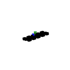 CCC[C@H]1CC[C@H](c2ccc(-c3ccc([C@H]4CC[C@H](CCC)CC4)cc3F)nc2)CC1